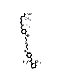 CNC(C)\C=C/C=C/C(C)=C/c1ccc(NCCSSCCNc2ccc(/C=C(\C)c3cccc[n+]3C)cc2)cc1